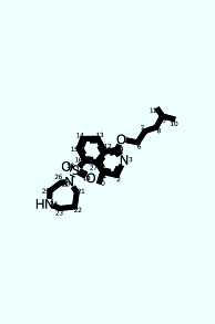 Cc1cnc(OCCCC(C)C)c2cccc(S(=O)(=O)N3CCCNCC3)c12